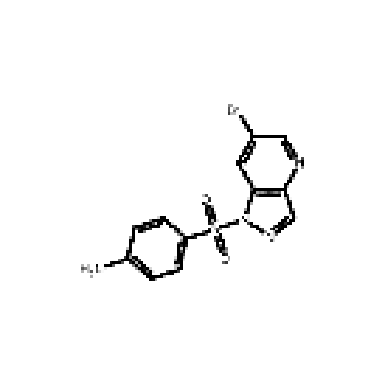 Cc1ccc(S(=O)(=O)n2ncc3ncc(Br)cc32)cc1